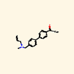 C=CCN(C)Cc1ccc(-c2ccc(C(=O)NC)cc2)cc1